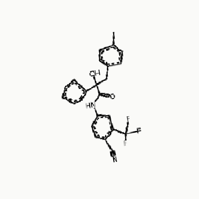 Cc1ccc(CC(O)(C(=O)Nc2ccc(C#N)c(C(F)(F)F)c2)c2ccccc2)cc1